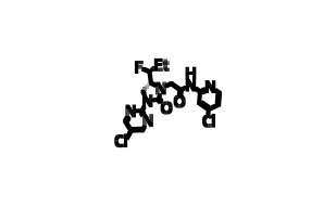 CC[C@H](F)[C@H]1CN(c2ncc(Cl)cn2)C(=O)N1CC(=O)Nc1cc(Cl)ccn1